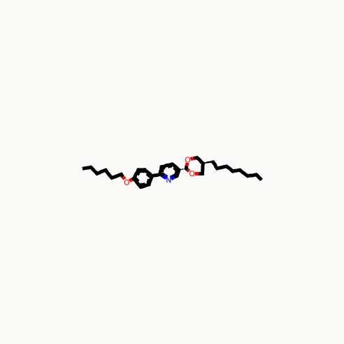 CCCCCCCC[C@H]1CO[C@H](c2ccc(-c3ccc(OCCCCCC)cc3)nc2)OC1